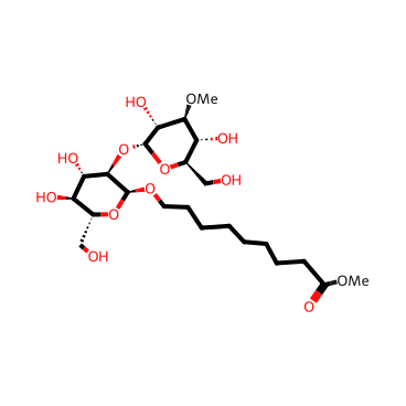 COC(=O)CCCCCCCCO[C@H]1O[C@H](CO)[C@@H](O)[C@H](O)[C@H]1O[C@H]1O[C@H](CO)[C@@H](O)[C@H](OC)[C@H]1O